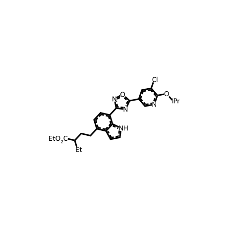 CCOC(=O)C(CC)CCc1ccc(-c2noc(-c3cnc(OC(C)C)c(Cl)c3)n2)c2[nH]ccc12